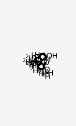 [2H]c1c([2H])c2c3c(c1OC([2H])([2H])[2H])OC1([2H])C(O)C=C[C@H]4[C@H](N(C([2H])([2H])[2H])CC[C@@]341)C2([2H])[2H]